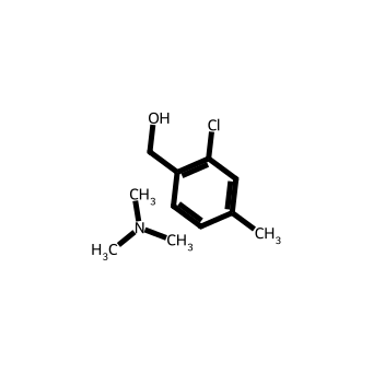 CN(C)C.Cc1ccc(CO)c(Cl)c1